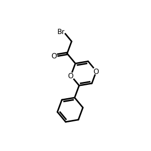 O=C(CBr)C1=COC=C(C2=CC=CCC2)O1